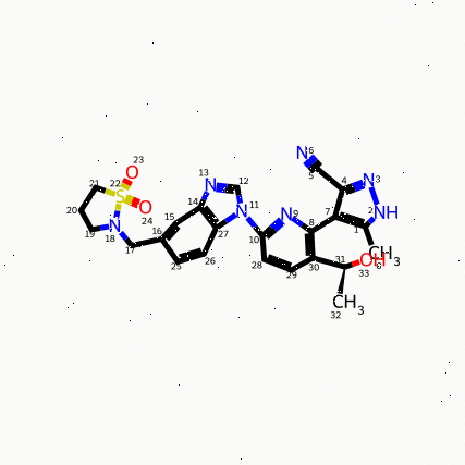 Cc1[nH]nc(C#N)c1-c1nc(-n2cnc3cc(CN4CCCS4(=O)=O)ccc32)ccc1[C@H](C)O